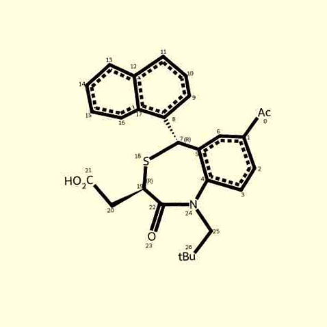 CC(=O)c1ccc2c(c1)[C@@H](c1cccc3ccccc13)S[C@H](CC(=O)O)C(=O)N2CC(C)(C)C